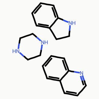 C1CNCCN1.c1ccc2c(c1)CCN2.c1ccc2ncccc2c1